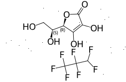 FC(F)C(F)(F)C(F)(F)F.O=C1O[C@H]([C@@H](O)CO)C(O)=C1O